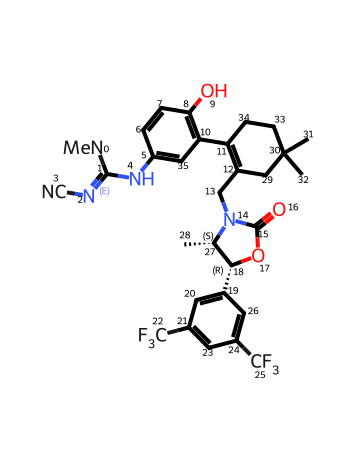 CN/C(=N\C#N)Nc1ccc(O)c(C2=C(CN3C(=O)O[C@H](c4cc(C(F)(F)F)cc(C(F)(F)F)c4)[C@@H]3C)CC(C)(C)CC2)c1